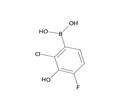 OB(O)c1ccc(F)c(O)c1Cl